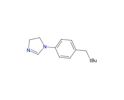 CC(C)(C)Cc1ccc(N2C=NCC2)cc1